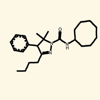 CCCCC1=NN(C(=O)NC2CCCCCCC2)C(C)(C)C1c1ccccc1